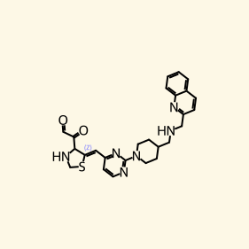 O=CC(=O)C1NCS/C1=C\c1ccnc(N2CCC(CNCc3ccc4ccccc4n3)CC2)n1